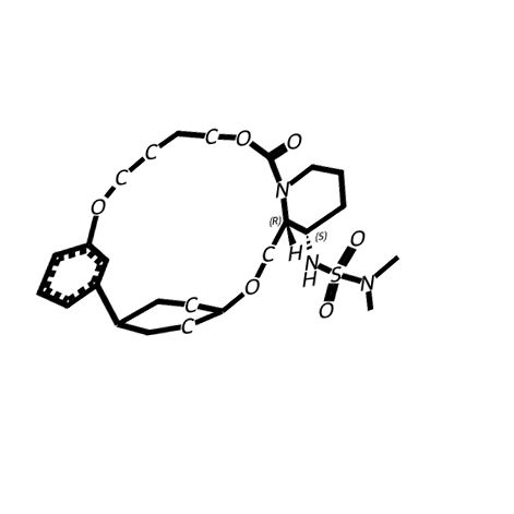 CN(C)S(=O)(=O)N[C@H]1CCCN2C(=O)OCCCCOc3cccc(c3)C3CCC(CC3)OC[C@@H]12